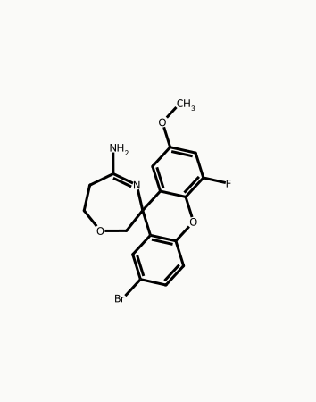 COc1cc(F)c2c(c1)C1(COCCC(N)=N1)c1cc(Br)ccc1O2